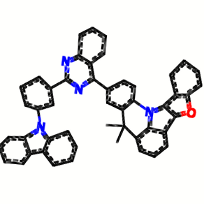 CC1(C)c2cc(-c3nc(-c4cccc(-n5c6ccccc6c6ccccc65)c4)nc4ccccc34)ccc2-n2c3c1cccc3c1oc3ccccc3c12